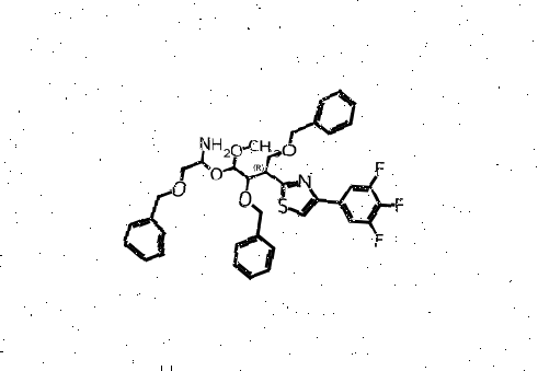 COC(OC(N)COCc1ccccc1)C(OCc1ccccc1)[C@@H](COCc1ccccc1)c1nc(-c2cc(F)c(F)c(F)c2)cs1